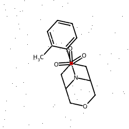 Cc1ccccc1S(=O)(=O)N1C2COCC1CC(=O)C2